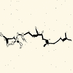 CC(C)=CCCC(C)=CCCC(C)=CCNOP(=O)(O)CC(=O)O